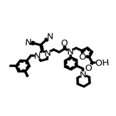 Cc1cc(C)cc(CN2CCN(CCC(=O)N(Cc3ccc(C(=O)O)o3)c3cccc(CN4CCCCC4)c3)C2=C(C#N)C#N)c1